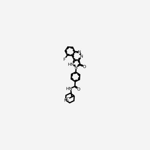 O=C(NC1CN2CCC1CC2)c1ccc(-n2[nH]c3c(nnc4cccc(F)c43)c2=O)cc1